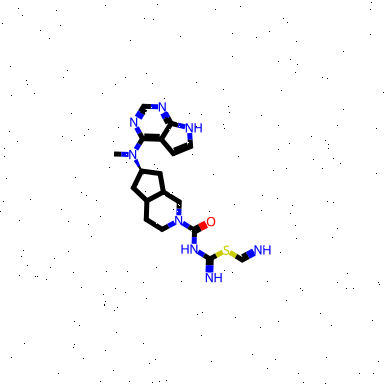 CN(c1ncnc2[nH]ccc12)[C@@H]1CC2CCN(C(=O)NC(=N)SC=N)CC2C1